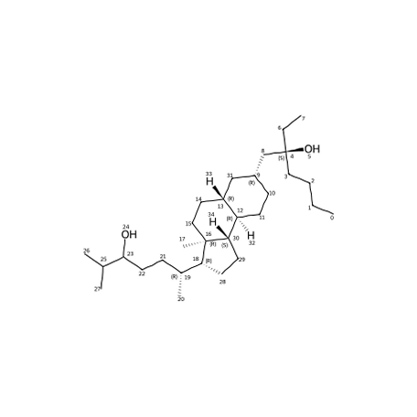 CCCC[C@@](O)(CC)C[C@@H]1CC[C@@H]2[C@H](CC[C@]3(C)[C@@H]([C@H](C)CCC(O)C(C)C)CC[C@@H]23)C1